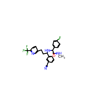 CNC(=O)C(NC(CCc1ccc(C(F)(F)F)nc1)c1cccc(C#N)c1)c1ccc(F)cc1